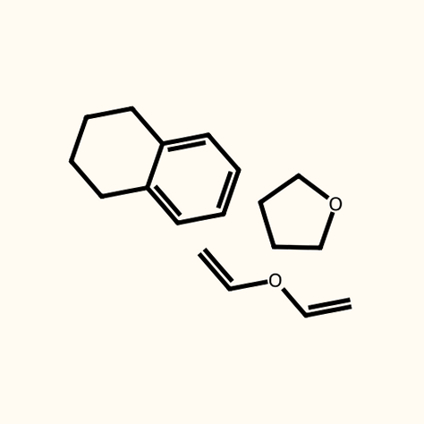 C1CCOC1.C=COC=C.c1ccc2c(c1)CCCC2